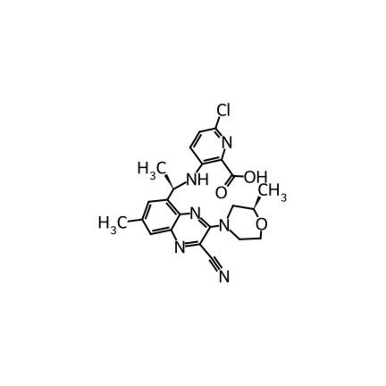 Cc1cc([C@@H](C)Nc2ccc(Cl)nc2C(=O)O)c2nc(N3CCO[C@H](C)C3)c(C#N)nc2c1